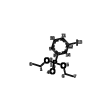 CCOP(=O)(OCC)c1cccc(I)c1